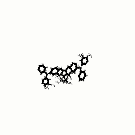 Cc1ccc(N(c2ccccc2)c2ccc3cc4c(cc3c2)C([Si](C)(C)C)([Si](C)(C)C)c2cc3cc(N(c5ccccc5)c5ccc(C)c(C)c5)ccc3cc2-4)cc1C